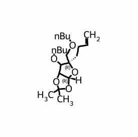 C=CCC[C@]1(COCCCC)O[C@@H]2OC(C)(C)OC2C1OCCCC